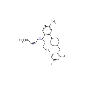 C=N/C=C\C=C(/CCC)c1cnc(C)cc1N1CCC(Cc2ccc(F)cc2F)CC1